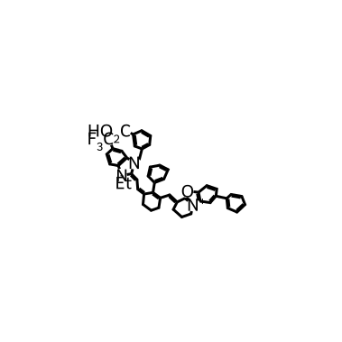 CCN1C(=CC=C2CCCC(C=C3CCC[n+]4c3oc3ccc(-c5ccccc5)cc34)=C2c2ccccc2)N(Cc2cccc(C(=O)O)c2)c2cc(C(F)(F)F)ccc21